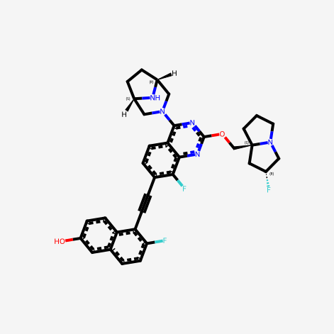 Oc1ccc2c(C#Cc3ccc4c(N5C[C@H]6CC[C@@H](C5)N6)nc(OC[C@@]56CCCN5C[C@H](F)C6)nc4c3F)c(F)ccc2c1